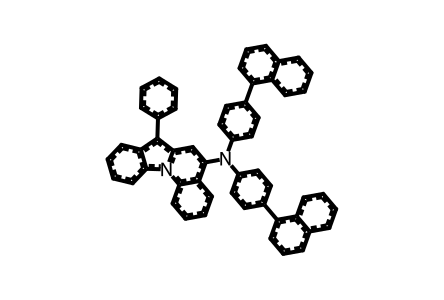 c1ccc(-c2c3ccccc3n3c2cc(N(c2ccc(-c4cccc5ccccc45)cc2)c2ccc(-c4cccc5ccccc45)cc2)c2ccccc23)cc1